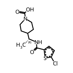 C[C@@H](NC(=O)c1ccc(Cl)s1)C1CCN(C(=O)O)CC1